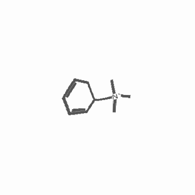 C[N+](C)(C)C1C=CC=CC1